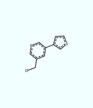 ClCc1cncc(-c2ccsc2)c1